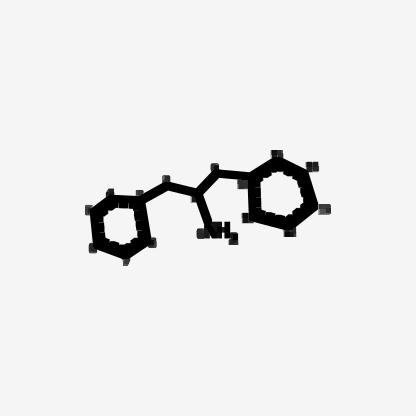 NC(Cc1ccccc1)Cc1ccccc1